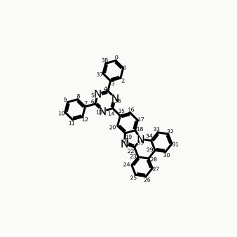 c1ccc(-c2nc(-c3ccccc3)nc(-c3ccc4c(c3)nc3c5ccccc5c5ccccc5n43)n2)cc1